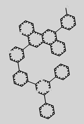 N#Cc1cccc(-c2cc3c4cccnc4c(-c4cncc(-c5cccc(-c6nc(-c7ccccc7)nc(-c7ccccc7)n6)c5)c4)cc3c3ccccc23)c1